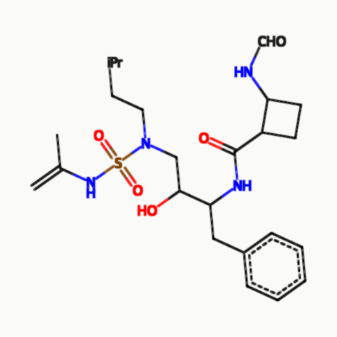 C=C(C)NS(=O)(=O)N(CCC(C)C)CC(O)C(Cc1ccccc1)NC(=O)C1CCC1NC=O